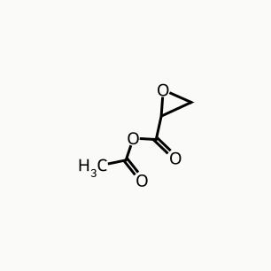 CC(=O)OC(=O)C1CO1